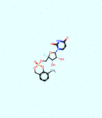 Cc1cccc2c1OP(=O)(OC[C@@]1(F)O[C@@H](n3ccc(=O)[nH]c3=O)[C@H](O)[C@@H]1O)OC2